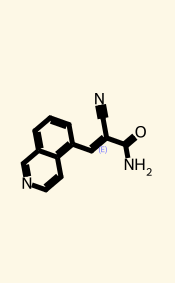 N#C/C(=C\c1cccc2cnccc12)C(N)=O